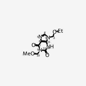 CCOCn1cnc2c(=O)n(COC)c(=O)[nH]c21